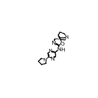 c1nc(N2CCCC2)cnc1NC1=NC[C@@]2(CN3CCC2CC3)O1